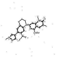 COc1nc(N2CCCc3cc(-c4cnn(C)c4)c(C(F)F)cc32)cc2c1cc(C)c(=O)n2C